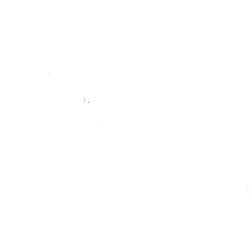 CCOc1ccc(/C=C/C(=O)NC2CCCO2)cc1